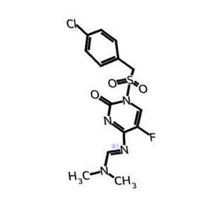 CN(C)/C=N/c1nc(=O)n(S(=O)(=O)Cc2ccc(Cl)cc2)cc1F